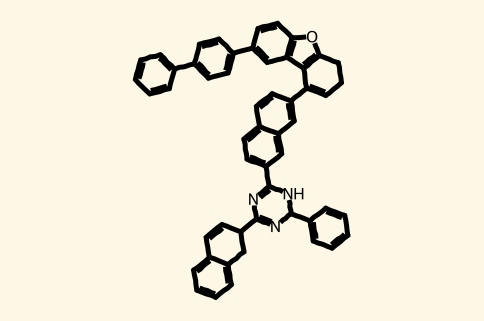 C1=CC(C2=NC(c3ccccc3)NC(c3ccc4ccc(C5=CCCc6oc7ccc(-c8ccc(-c9ccccc9)cc8)cc7c65)cc4c3)=N2)Cc2ccccc21